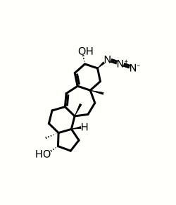 C[C@@]12CC[C@@]3(C)C(=CC1=C[C@H](O)[C@@H](N=[N+]=[N-])C2)CC[C@@]1(C)[C@H]3CC[C@@H]1O